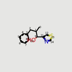 CC(Cc1ccccc1)C(O)c1cscn1